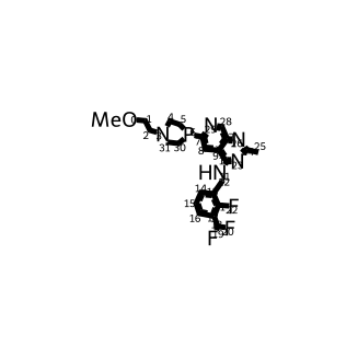 COCCN1CCP(c2cc3c(NCc4cccc(C(F)F)c4F)nc(C)nc3cn2)CC1